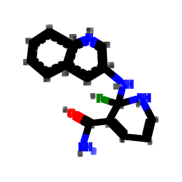 NC(=O)C1=CC=CNC1(F)Nc1cnc2ccccc2c1